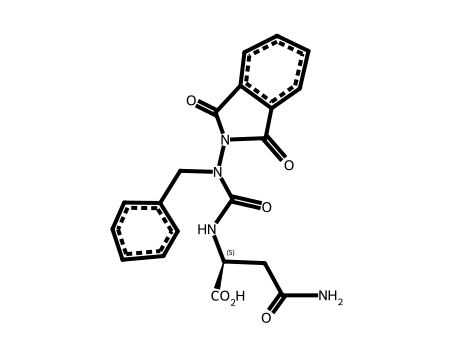 NC(=O)C[C@H](NC(=O)N(Cc1ccccc1)N1C(=O)c2ccccc2C1=O)C(=O)O